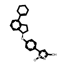 [O-][s+]1nc(O)cc1-c1ccc(O[C@@H]2CCc3c(C4=CCCCC4)cccc32)cc1